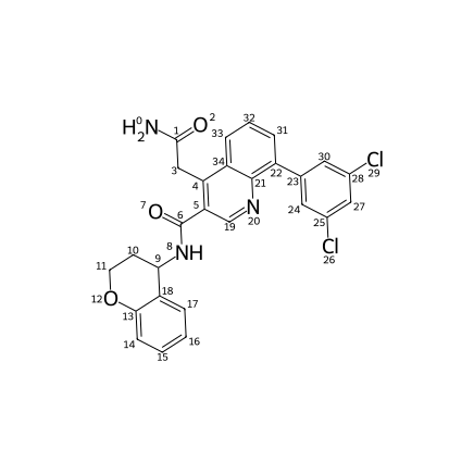 NC(=O)Cc1c(C(=O)NC2CCOc3ccccc32)cnc2c(-c3cc(Cl)cc(Cl)c3)cccc12